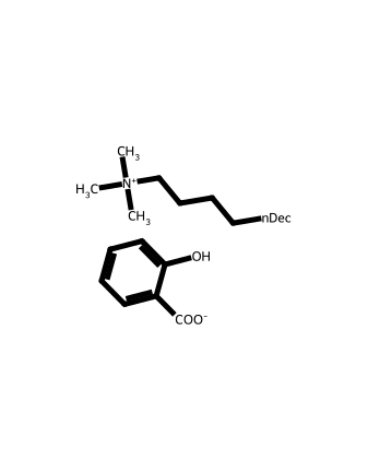 CCCCCCCCCCCCCC[N+](C)(C)C.O=C([O-])c1ccccc1O